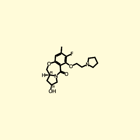 Cc1cc2c(c(OCCN3CCCC3)c1F)C(=O)N1C[C@@H](O)C[C@@H]1CO2